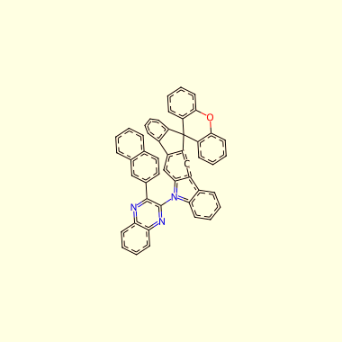 c1ccc2c(c1)Oc1ccccc1C21c2ccccc2-c2cc3c(cc21)c1ccccc1n3-c1nc2ccccc2nc1-c1ccc2ccccc2c1